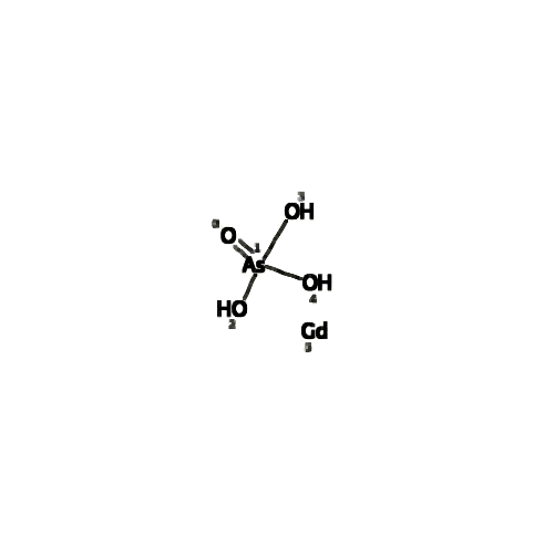 O=[As](O)(O)O.[Gd]